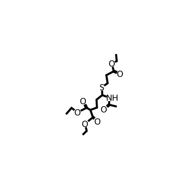 CCOC(=O)CCSC(CCC(C(=O)OCC)C(=O)OCC)NC(C)=O